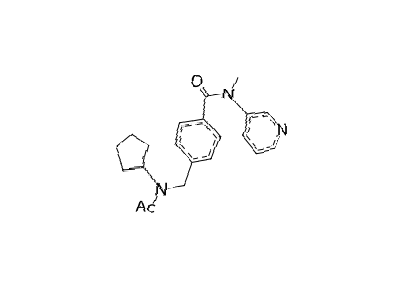 CC(=O)N(Cc1ccc(C(=O)N(C)c2cccnc2)cc1)C1CCCC1